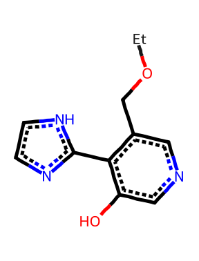 CCOCc1cncc(O)c1-c1ncc[nH]1